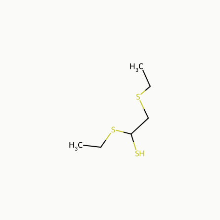 CCSCC(S)SCC